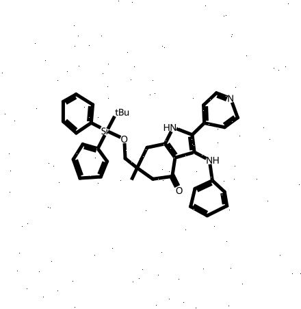 CC1(CO[Si](c2ccccc2)(c2ccccc2)C(C)(C)C)CC(=O)c2c([nH]c(-c3ccncc3)c2Nc2ccccc2)C1